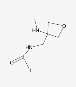 O=C(I)NCC1(NI)COC1